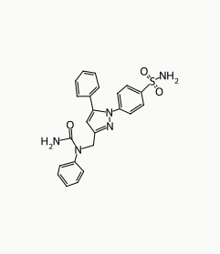 NC(=O)N(Cc1cc(-c2ccccc2)n(-c2ccc(S(N)(=O)=O)cc2)n1)c1ccccc1